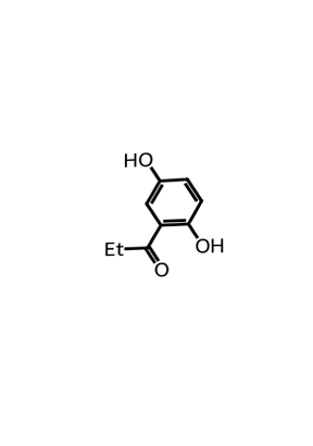 CCC(=O)c1cc(O)ccc1O